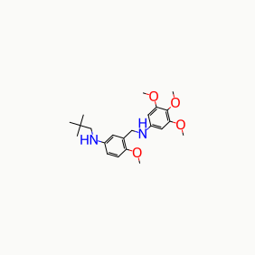 COc1ccc(NCC(C)(C)C)cc1CNc1cc(OC)c(OC)c(OC)c1